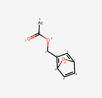 CC(=O)C(=O)OCc1cc2ccc1o2